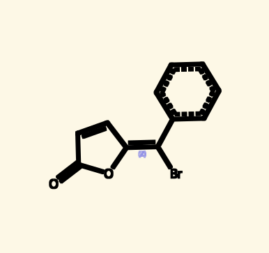 O=C1C=C/C(=C(/Br)c2ccccc2)O1